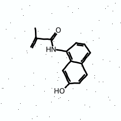 C=C(C)C(=O)Nc1cccc2ccc(O)cc12